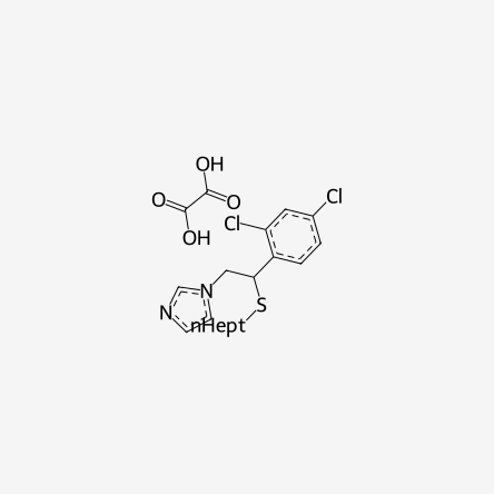 CCCCCCCSC(Cn1ccnc1)c1ccc(Cl)cc1Cl.O=C(O)C(=O)O